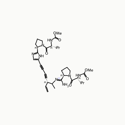 C=C[C@H](C#CC#Cc1cnc([C@H]2CCCN2C(=O)[C@H](NC(=O)OC)C(C)C)[nH]1)C(C)/N=C(\N)[C@H]1CCCN1C(=O)[C@H](NC(=O)OC)C(C)C